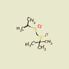 CC(C)[S+]([O-])C[S+]([O-])C(C)(C)C